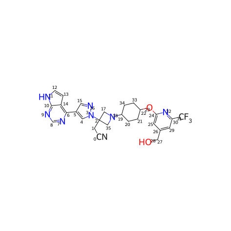 N#CCC1(n2cc(-c3ncnc4[nH]ccc34)cn2)CN(C2CCC(Oc3cc(CO)cc(C(F)(F)F)n3)CC2)C1